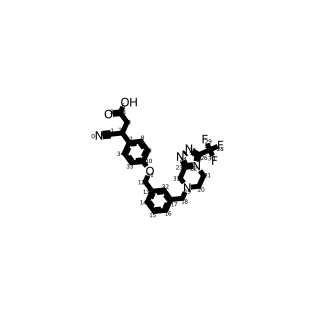 N#CC(CC(=O)O)c1ccc(OCc2cccc(CN3CCn4c(nnc4C(F)(F)F)C3)c2)cc1